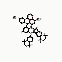 Cc1cc2c3c(c1)N(c1ccc4c(c1)C(C)(C)CCC4(C)C)c1c(sc4cc5c(cc14)C(C)(C)CCC5(C)C)B3c1cc(C(C)(C)C)ccc1N2c1ccc(C(C)(C)C)cc1-c1ccccc1